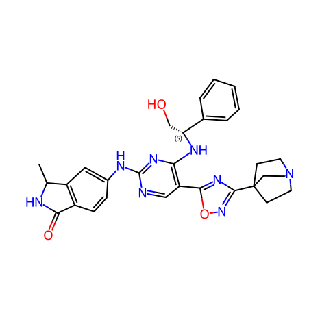 CC1NC(=O)c2ccc(Nc3ncc(-c4nc(C56CCN(CC5)CC6)no4)c(N[C@H](CO)c4ccccc4)n3)cc21